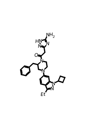 CCc1nn(C2CCC2)c2cc(N3CCN(C(=O)Cc4n[nH]c(N)n4)C(Cc4ccccc4)C3)ccc12